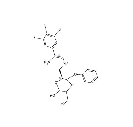 N/C(=C\NC[C@@H]1OC(O)C(CO)OC1Oc1ccccc1)c1cc(F)c(F)c(F)c1